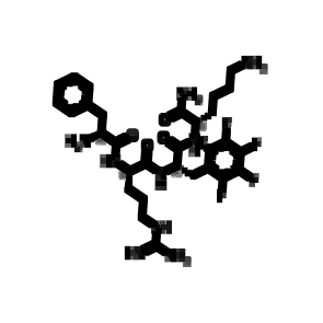 N=C(N)NCCC[C@@H](NC(=O)[C@@H](N)Cc1ccccc1)C(=O)N[C@@H](Cc1c(F)c(F)c(F)c(F)c1F)C(=O)N[C@@H](CCCCN)C(N)=O